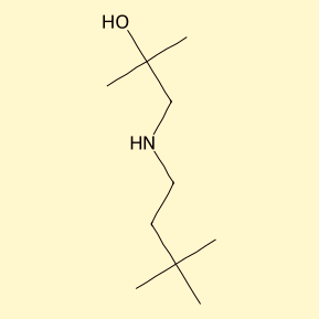 CC(C)(C)CCNCC(C)(C)O